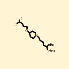 CCCCCCC(CCCC)CCCCN1CCC(OCCCC(CC)CC)CC1